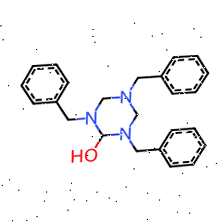 OC1N(Cc2ccccc2)CN(Cc2ccccc2)CN1Cc1ccccc1